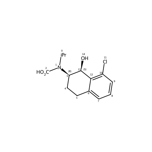 CC(C)N(C(=O)O)[C@@H]1CCc2cccc(Cl)c2[C@@H]1O